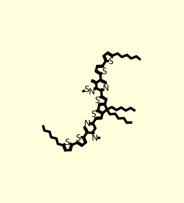 C=C1C(c2ccc(-c3ccc(CCCCCC)s3)s2)=CN=C(c2cc3c(s2)-c2sc(C4=NC=C(c5ccc(-c6ccc(CCCCCC)s6)s5)/C(=N/C)C4)cc2C3(CCCCCC)CCCCCC)/C1=N/SC